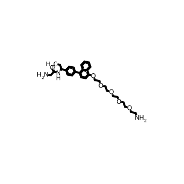 CCC(NC(=O)CN)c1ccc(-c2ccc(OCCOCCOCCOCCOCCN)c3ccccc23)cc1